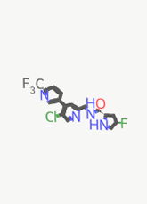 O=C(NCc1cc(-c2ccc(C(F)(F)F)nc2)c(Cl)cn1)[C@@H]1C[C@@H](F)CN1